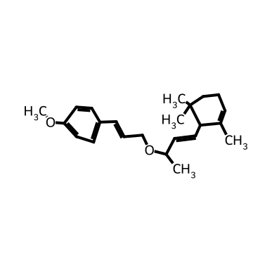 COc1ccc(C=CCOC(C)C=CC2C(C)=CCCC2(C)C)cc1